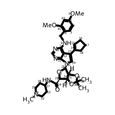 COc1ccc(CNc2ncnc3c2c(C2=CCCC2)cn3[C@@H]2O[C@H](C(=O)NC3CCN(C)CC3)[C@H]3OC(C)(C)O[C@H]32)c(OC)c1